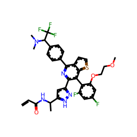 C=CC(=O)NC(C)c1cc(-c2nc(-c3ccc(C(N(C)C)C(F)(F)F)cc3)c3ccsc3c2-c2c(F)cc(F)cc2OCCOC)n[nH]1